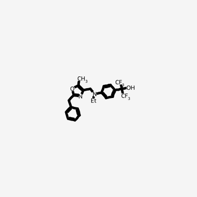 CCN(Cc1nc(Cc2ccccc2)oc1C)c1ccc(C(O)(C(F)(F)F)C(F)(F)F)cc1